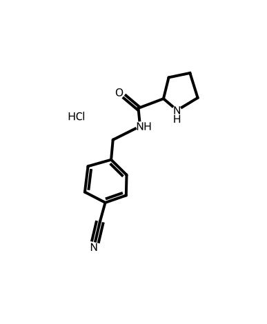 Cl.N#Cc1ccc(CNC(=O)C2CCCN2)cc1